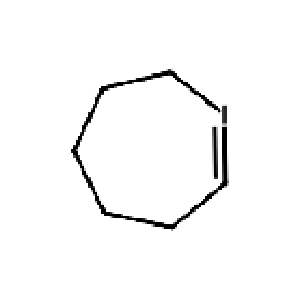 C1=ICCCCC1